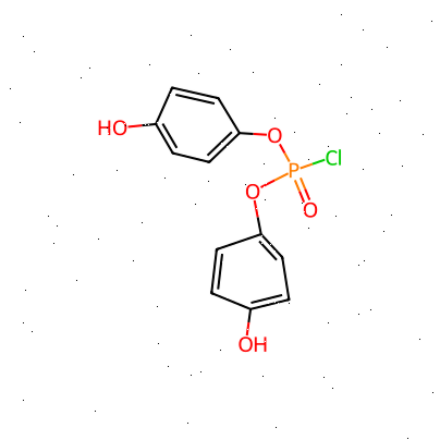 O=P(Cl)(Oc1ccc(O)cc1)Oc1ccc(O)cc1